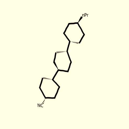 CCC[C@H]1CC[C@H]([C@H]2CC[C@H]([C@H]3CC[C@@H](C#N)CC3)CC2)CC1